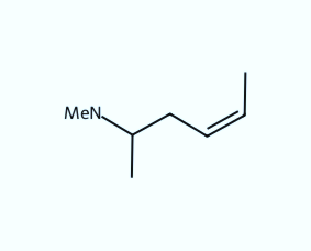 C/C=C\CC(C)NC